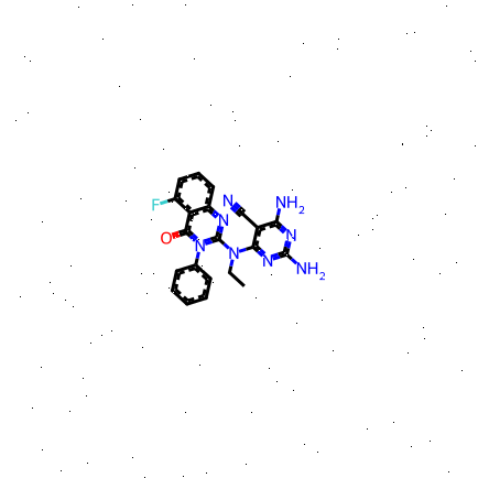 CCN(c1nc(N)nc(N)c1C#N)c1nc2cccc(F)c2c(=O)n1-c1ccccc1